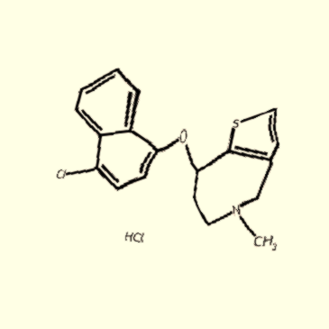 CN1CCC(Oc2ccc(Cl)c3ccccc23)c2sccc2C1.Cl